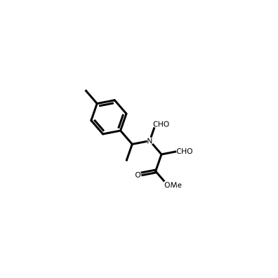 COC(=O)C(C=O)N(C=O)C(C)c1ccc(C)cc1